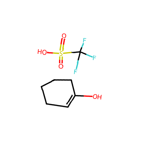 O=S(=O)(O)C(F)(F)F.OC1=CCCCC1